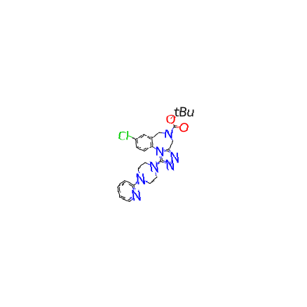 CC(C)(C)OC(=O)N1Cc2cc(Cl)ccc2-n2c(nnc2N2CCN(c3ccccn3)CC2)C1